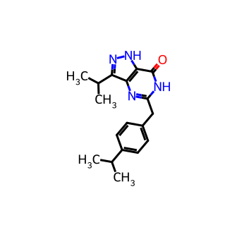 CC(C)c1ccc(Cc2nc3c(C(C)C)n[nH]c3c(=O)[nH]2)cc1